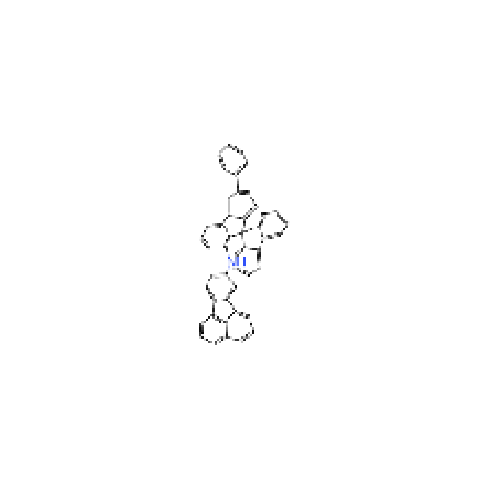 c1ccc(-c2ccc3c(c2)-c2cccc(Nc4ccc5c(c4)-c4cccc6cccc-5c46)c2C32c3ccccc3-c3ccccc32)cc1